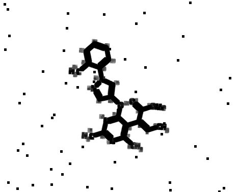 CC=C(C(=O)OC)c1c(C)nc(C)nc1Oc1cnn(-c2ccccc2C)c1